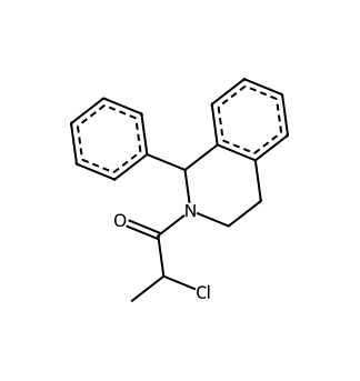 CC(Cl)C(=O)N1CCc2ccccc2C1c1ccccc1